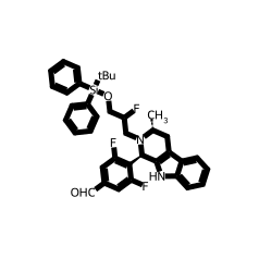 C[C@@H]1Cc2c([nH]c3ccccc23)[C@@H](c2c(F)cc(C=O)cc2F)N1CC(F)CO[Si](c1ccccc1)(c1ccccc1)C(C)(C)C